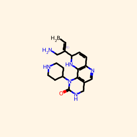 B/C=C(\CN)C1C=Cc2ncc3c(c2N1)N(C1CCNCC1)C(=O)NC3